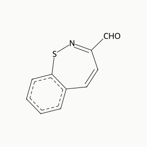 O=CC1=NSc2ccccc2C=C1